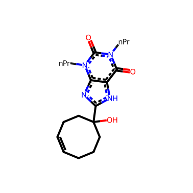 CCCn1c(=O)c2[nH]c(C3(O)CC/C=C\CCC3)nc2n(CCC)c1=O